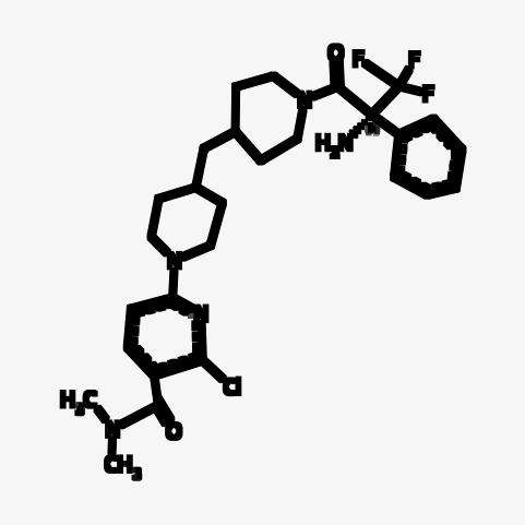 CN(C)C(=O)c1ccc(N2CCC(CC3CCN(C(=O)[C@](N)(c4ccccc4)C(F)(F)F)CC3)CC2)nc1Cl